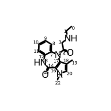 CCNCC(=O)N1c2ccccc2NC(=O)c2c1c(C)cn2C